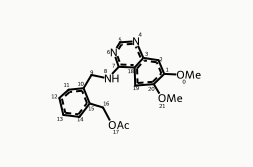 COc1cc2ncnc(NCc3ccccc3COC(C)=O)c2cc1OC